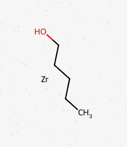 CCCCCO.[Zr]